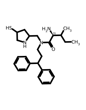 CCC(C)[C@H](N)C(=O)N(CCC(c1ccccc1)c1ccccc1)CC1CC(S)CN1